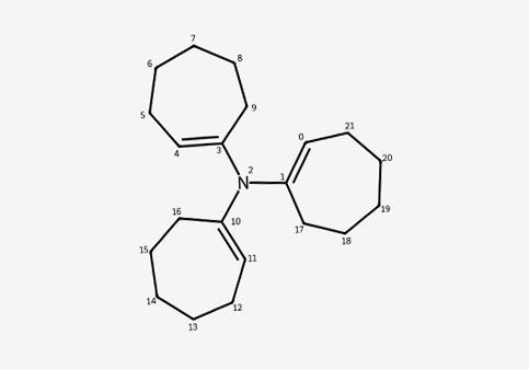 C1=C(N(C2=CCCCCC2)C2=CCCCCC2)CCCCC1